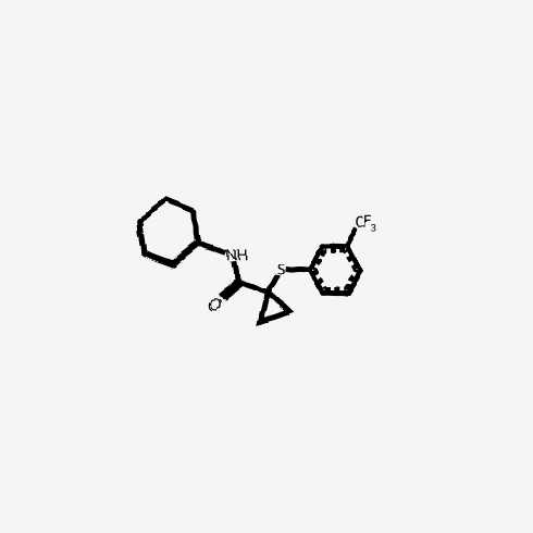 O=C(NC1CCCCC1)C1(Sc2cccc(C(F)(F)F)c2)CC1